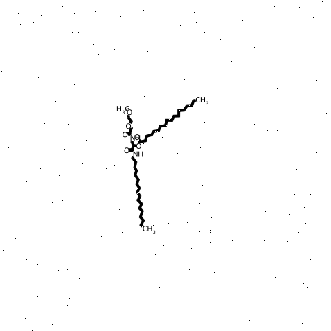 CCCCCCCCCCCCCCCCCCNC(=O)C(CNC(=O)COCCOC)OC(=O)CCCCCCCCCCCCCCCCC